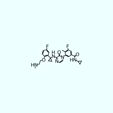 CNCCOc1ccc(F)cc1C1(Nc2nccn(-c3cc(C(=O)NC4CC4)cc(F)c3C)c2=O)CC1